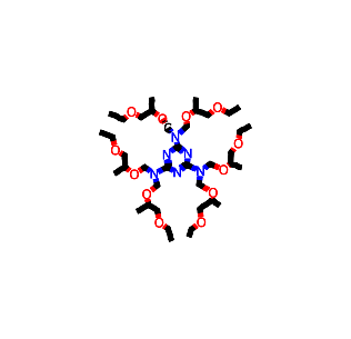 CCOCC(C)OCN(COC(C)COCC)c1nc(N(COC(C)COCC)COC(C)COCC)nc(N(COC(C)COCC)COC(C)COCC)n1